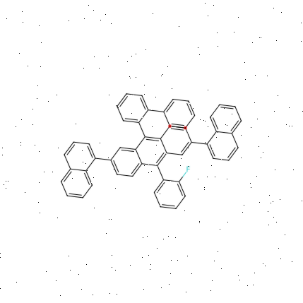 Fc1ccccc1-c1c2cc(-c3cccc4ccccc34)ccc2c(-c2ccccc2-c2ccccc2)c2cc(-c3cccc4ccccc34)ccc12